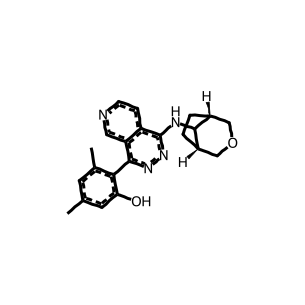 Cc1cc(C)c(-c2nnc(NC3[C@@H]4CC[C@H]3COC4)c3ccncc23)c(O)c1